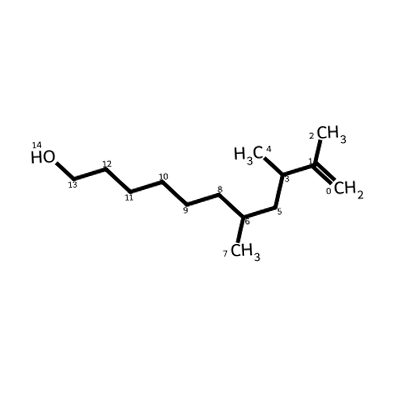 C=C(C)C(C)CC(C)CCCCCCO